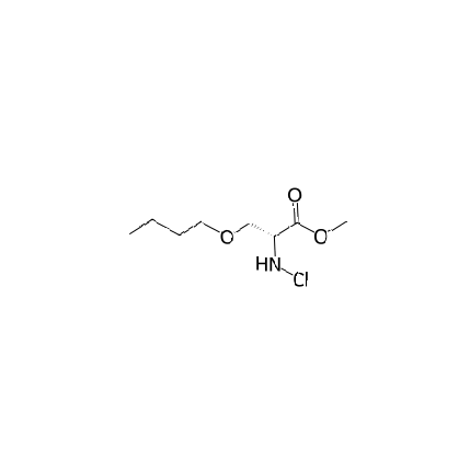 CCCCOC[C@@H](NCl)C(=O)OC